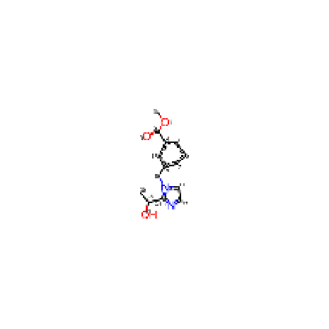 COC(=O)c1cccc(Cn2ccnc2C(C)O)c1